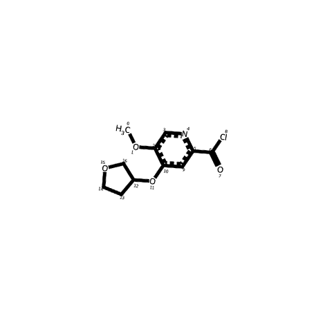 COc1cnc(C(=O)Cl)cc1OC1CCOC1